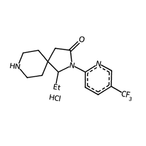 CCC1N(c2ccc(C(F)(F)F)cn2)C(=O)CC12CCNCC2.Cl